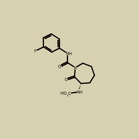 O=C(O)N[C@H]1CCCCN(C(=O)Nc2cccc(F)c2)C1=O